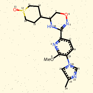 COc1nc(C2=NOCC(C3CC[S+]([O-])CC3)N2)ccc1-n1cnc(C)c1